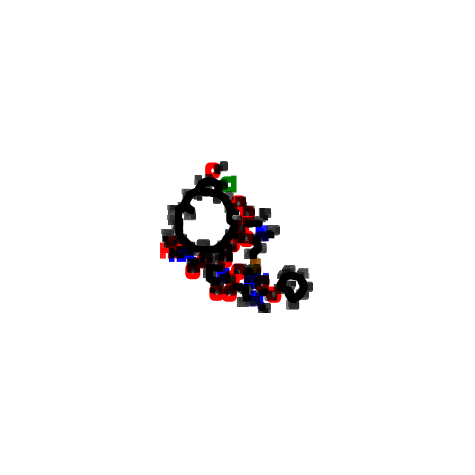 COc1cc2cc(c1Cl)CC(=O)C[C@H](OC(=O)[C@H](C)N(C)C(=O)CCSC(=O)NC(CN(C)C(=O)OC1/C=C/CCCCC1)C(=O)ON1C(=O)CCC1=O)[C@]1(C)O[C@H]1[C@H](C)[C@@H]1C[C@@](O)(NC(=O)O1)[C@H](OC)/C=C/C=C(\C)C2